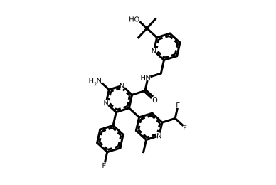 Cc1cc(-c2c(C(=O)NCc3cccc(C(C)(C)O)n3)nc(N)nc2-c2ccc(F)cc2)cc(C(F)F)n1